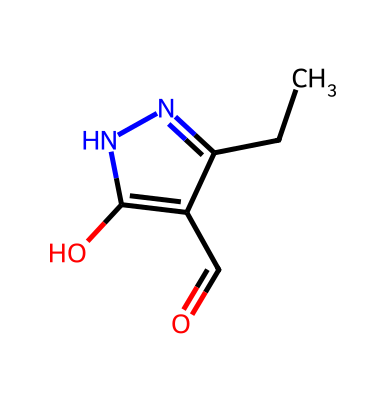 CCc1n[nH]c(O)c1C=O